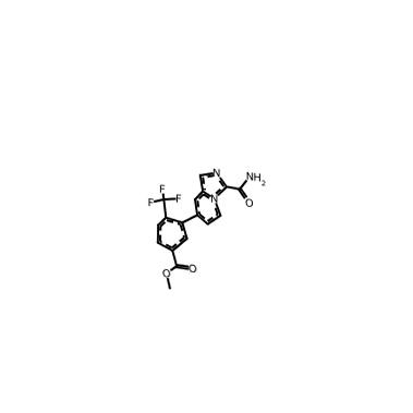 COC(=O)c1ccc(C(F)(F)F)c(-c2ccn3c(C(N)=O)ncc3c2)c1